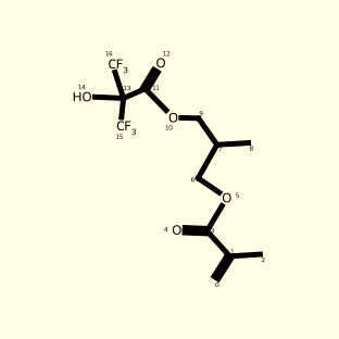 C=C(C)C(=O)OCC(C)COC(=O)C(O)(C(F)(F)F)C(F)(F)F